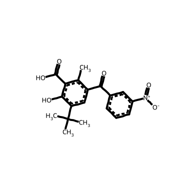 Cc1c(C(=O)c2cccc([N+](=O)[O-])c2)cc(C(C)(C)C)c(O)c1C(=O)O